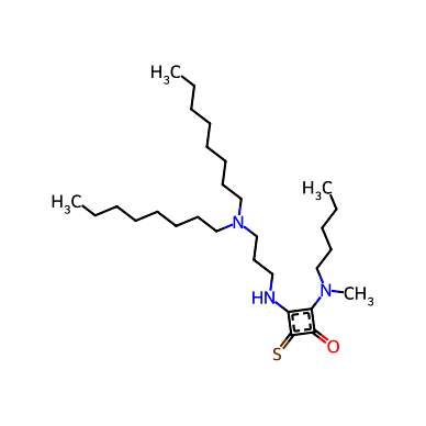 CCCCCCCCN(CCCCCCCC)CCCNc1c(N(C)CCCCC)c(=O)c1=S